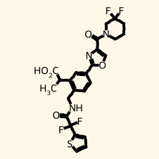 CC(C(=O)O)c1cc(-c2nc(C(=O)N3CCCC(F)(F)C3)co2)ccc1CNC(=O)C(F)(F)c1cccs1